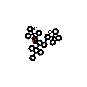 c1ccc(-c2c3ccccc3c(-c3c4cccc(-c5ccc6c(c5)C(c5ccccc5)(c5ccccc5)c5ccccc5O6)c4cc4c(-c5cccc6c5C(c5ccccc5)(c5ccccc5)c5ccccc5O6)cccc34)c3ccccc23)cc1